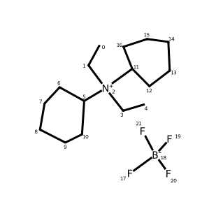 CC[N+](CC)(C1CCCCC1)C1CCCCC1.F[B-](F)(F)F